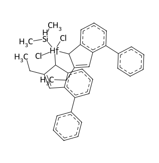 CCC1=Cc2c(-c3ccccc3)cccc2[CH]1[Hf]([Cl])([Cl])([CH]1C(CC)=Cc2c(-c3ccccc3)cccc21)[SiH](C)C